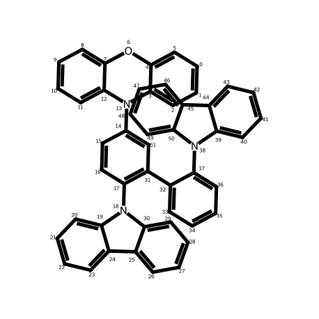 c1ccc2c(c1)Oc1ccccc1N2c1ccc(-n2c3ccccc3c3ccccc32)c(-c2ccccc2-n2c3ccccc3c3ccccc32)c1